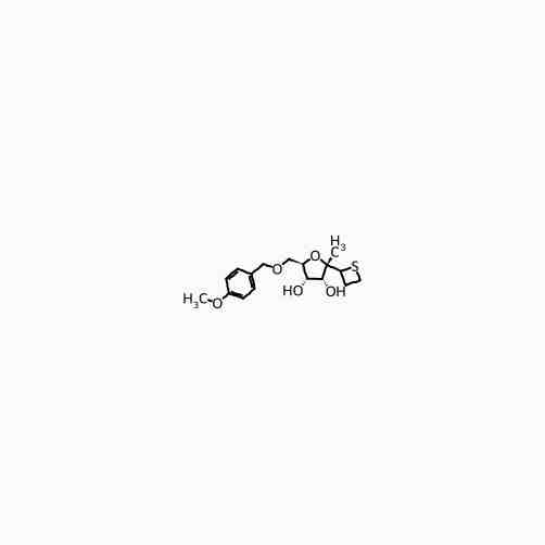 COc1ccc(COC[C@H]2O[C@](C)(C3CCS3)[C@H](O)[C@@H]2O)cc1